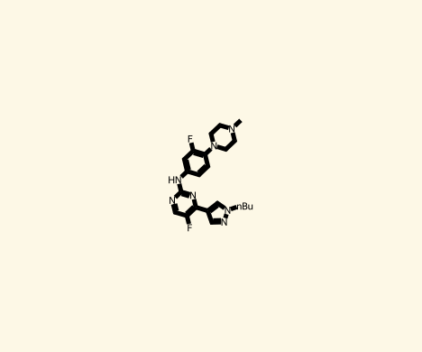 CCCCn1cc(-c2nc(Nc3ccc(N4CCN(C)CC4)c(F)c3)ncc2F)cn1